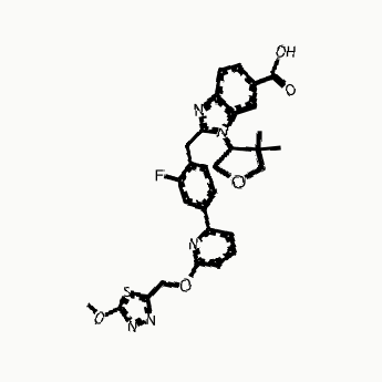 COc1nnc(COc2cccc(-c3ccc(Cc4nc5ccc(C(=O)O)cc5n4C4COCC4(C)C)c(F)c3)n2)s1